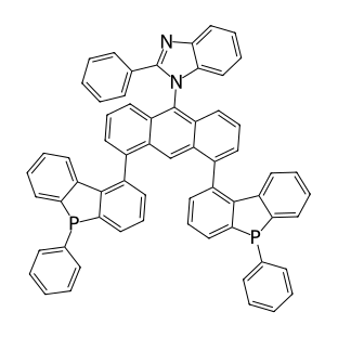 c1ccc(-c2nc3ccccc3n2-c2c3cccc(-c4cccc5c4c4ccccc4p5-c4ccccc4)c3cc3c(-c4cccc5c4c4ccccc4p5-c4ccccc4)cccc23)cc1